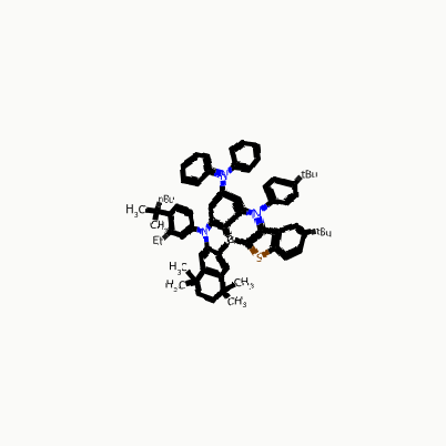 CCCCC(C)(C)c1ccc(N2c3cc4c(cc3B3c5sc6ccc(C(C)(C)C)cc6c5N(c5ccc(C(C)(C)C)cc5)c5cc(N(c6ccccc6)c6ccccc6)cc2c53)C(C)(C)CCC4(C)C)cc1CC